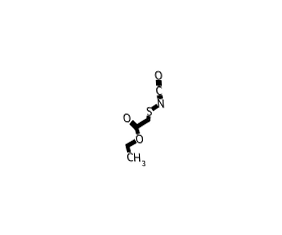 CCOC(=O)CSN=C=O